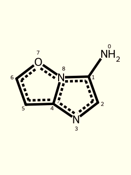 Nc1cnc2ccon12